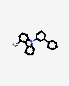 Cc1cccc2c1c1ccccc1n2C1=CC(c2ccccc2)CC=C1